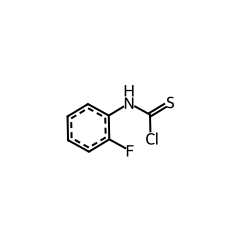 Fc1ccccc1NC(=S)Cl